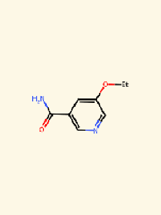 CCOc1cncc(C(N)=O)c1